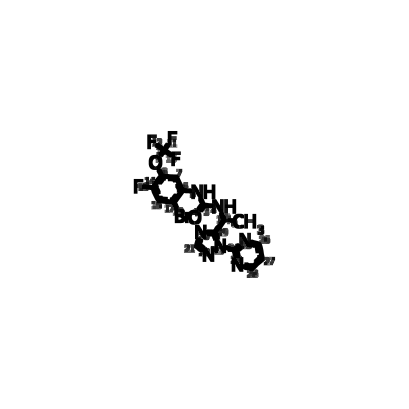 C[C@H](NC(=O)Nc1cc(OC(F)(F)F)c(F)cc1Br)c1ncnn1-c1ncccn1